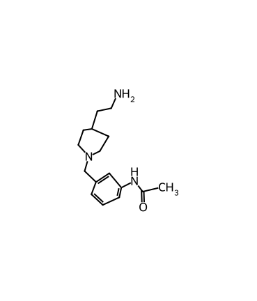 CC(=O)Nc1cccc(CN2CCC(CCN)CC2)c1